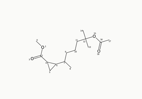 COC(=O)C1CC1C(C)CCCC(C)(C)OC(C)=O